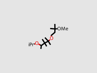 COC(C)(C)CCOC(C)(C)C(C)(C)C(C)OC(C)C